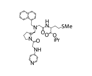 CSCCC(NC(=O)CN(Cc1cccc2ccccc12)C[C@@H]1CCCN1C(=O)CNc1ccncc1)C(=O)OC(C)C